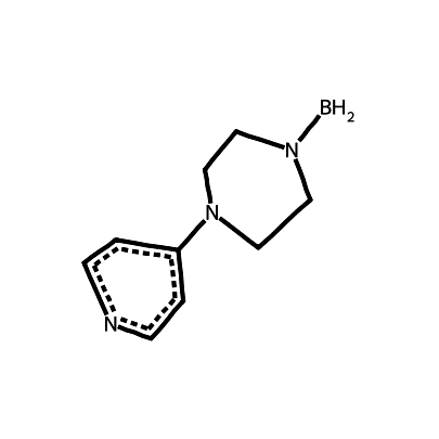 BN1CCN(c2ccncc2)CC1